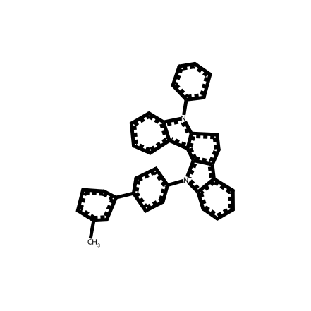 Cc1cccc(-c2ccc(-n3c4ccccc4c4ccc5c(c6ccccc6n5-c5ccccc5)c43)cc2)c1